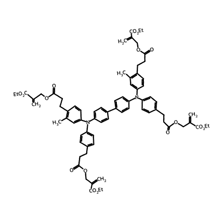 C=C(COC(=O)CCc1ccc(N(c2ccc(-c3ccc(N(c4ccc(CCC(=O)OCC(=C)C(=O)OCC)cc4)c4ccc(CCC(=O)OCC(=C)C(=O)OCC)c(C)c4)cc3)cc2)c2ccc(CCC(=O)OCC(=C)C(=O)OCC)c(C)c2)cc1)C(=O)OCC